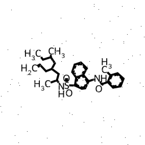 C=CCC(CC(C)CC)CC(C)NS(=O)(=O)c1ccc(NC(=O)c2ccccc2C)c2ccccc12